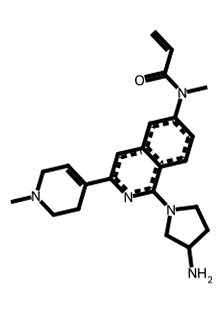 C=CC(=O)N(C)c1ccc2c(N3CCC(N)C3)nc(C3=CCN(C)CC3)cc2c1